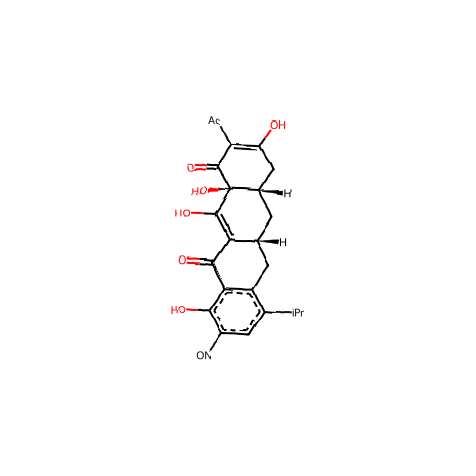 CC(=O)C1=C(O)C[C@@H]2C[C@@H]3Cc4c(C(C)C)cc(N=O)c(O)c4C(=O)C3=C(O)[C@]2(O)C1=O